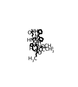 CCCC(=O)N1CC[C@H]2CC[C@@H](C(O)N[C@@H](CCC(N)=O)C(=O)NC(c3ccccc3)c3ccccc3)N2C(=O)[C@@H](NC(=O)OC(C)(C)C)C1